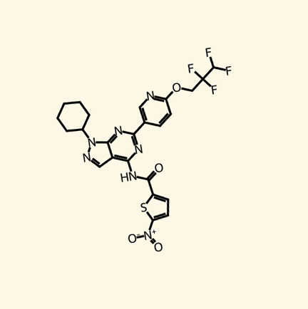 O=C(Nc1nc(-c2ccc(OCC(F)(F)C(F)F)nc2)nc2c1cnn2C1CCCCC1)c1ccc([N+](=O)[O-])s1